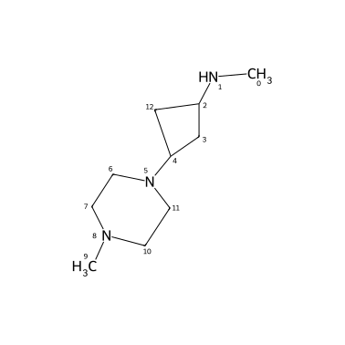 CNC1CC(N2CCN(C)CC2)C1